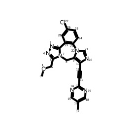 COCc1nnc2n1Cc1c(C#Cc3ncc(C)cn3)ncn1-c1ccc(Cl)cc1-2